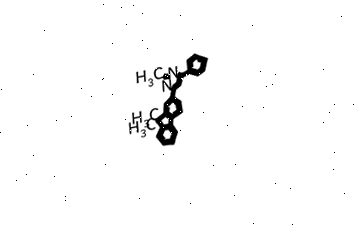 Cc1nc(-c2ccccc2)cc(-c2ccc3c(c2)C(C)(C)c2ccccc2-3)n1